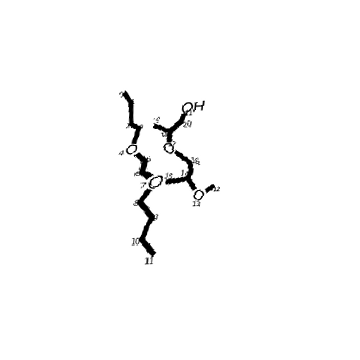 CCCCOCCOCCCC.COC(C)COC(C)CO